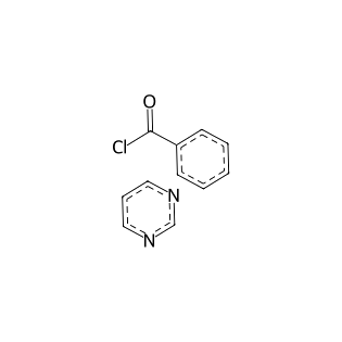 O=C(Cl)c1ccccc1.c1cncnc1